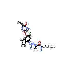 CCOC(=O)NC(=O)/C(C#N)=N/Nc1cc(Cl)c(Oc2c[nH]c(=O)c(C(C)C)n2)c2c1CCC2